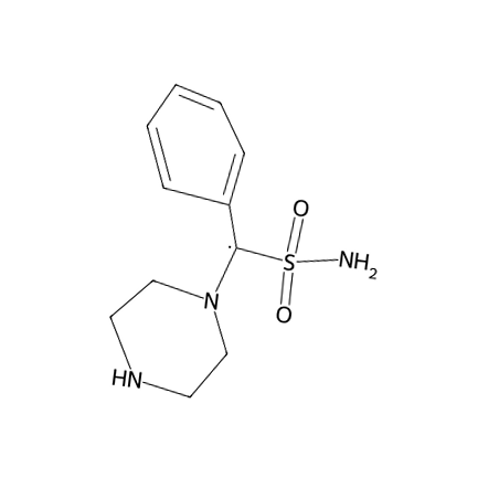 NS(=O)(=O)[C](c1ccccc1)N1CCNCC1